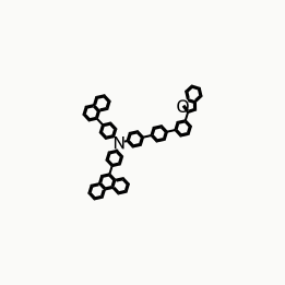 c1cc(-c2ccc(-c3ccc(N(c4ccc(-c5cccc6ccccc56)cc4)c4ccc(-c5cc6ccccc6c6ccccc56)cc4)cc3)cc2)cc(-c2cc3ccccc3o2)c1